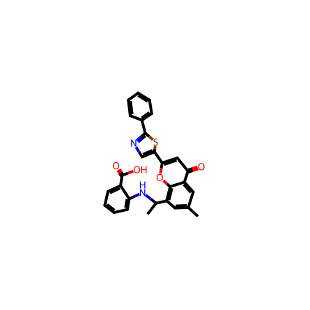 Cc1cc(C(C)Nc2ccccc2C(=O)O)c2oc(-c3cnc(-c4ccccc4)s3)cc(=O)c2c1